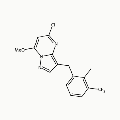 COc1cc(Cl)nc2c(Cc3cccc(C(F)(F)F)c3C)cnn12